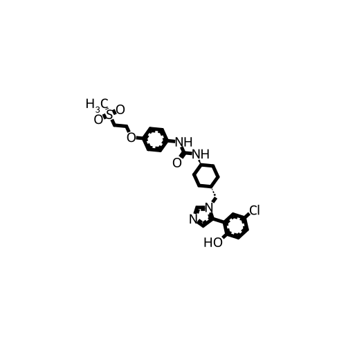 CS(=O)(=O)CCOc1ccc(NC(=O)N[C@H]2CC[C@@H](Cn3cncc3-c3cc(Cl)ccc3O)CC2)cc1